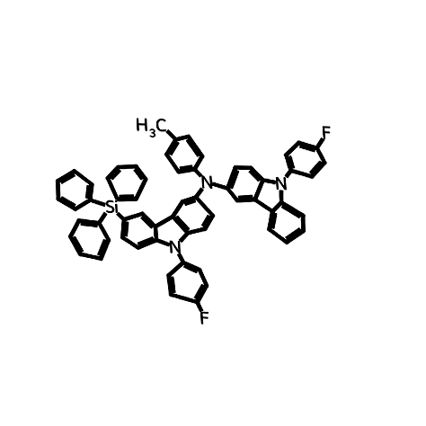 Cc1ccc(N(c2ccc3c(c2)c2ccccc2n3-c2ccc(F)cc2)c2ccc3c(c2)c2cc([Si](c4ccccc4)(c4ccccc4)c4ccccc4)ccc2n3-c2ccc(F)cc2)cc1